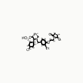 CCc1cc(CN(CC(C)C)C(CC(=O)O)c2ccc(Cl)cc2)ccc1OCCN1C(=O)CCC1=O